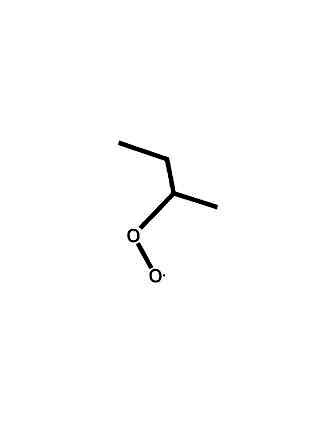 CCC(C)O[O]